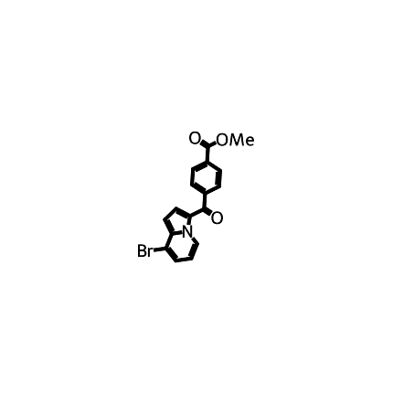 COC(=O)c1ccc(C(=O)c2ccc3c(Br)cccn23)cc1